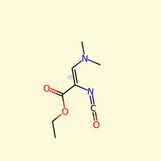 CCOC(=O)/C(=C/N(C)C)N=C=O